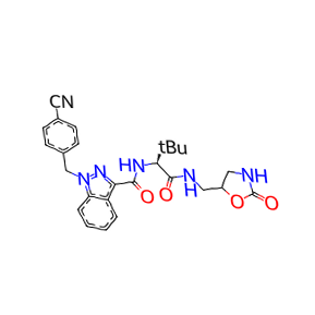 CC(C)(C)[C@H](NC(=O)c1nn(Cc2ccc(C#N)cc2)c2ccccc12)C(=O)NCC1CNC(=O)O1